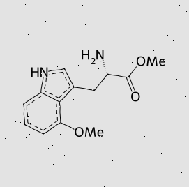 COC(=O)[C@@H](N)Cc1c[nH]c2cccc(OC)c12